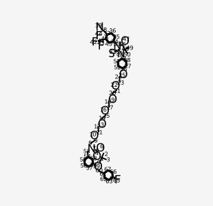 CC(C)(C)OC(=O)N(CCOCCOCCOCCOCCOCCOc1ccc(N2C(=S)N(c3ccc(C#N)c(C(F)(F)F)c3)C(=O)C2(C)C)cc1)Cc1cccc(OCc2ccc(F)cc2)c1